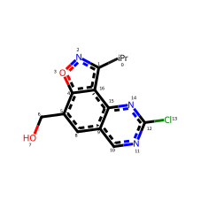 CC(C)c1noc2c(CO)cc3cnc(Cl)nc3c12